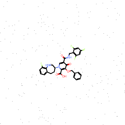 O=C(NCc1c(F)cc(F)cc1F)c1cn([C@H]2CCc3cccc(F)c3NC2)c(C(=O)O)c(OCc2ccccc2)c1=O